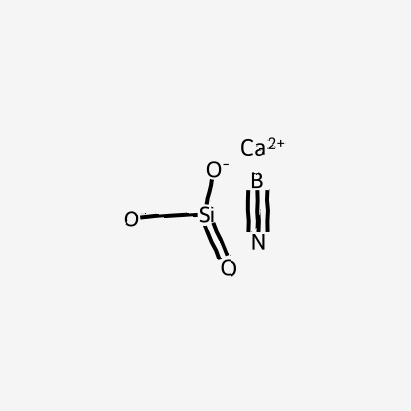 B#N.O=[Si]([O-])[O-].[Ca+2]